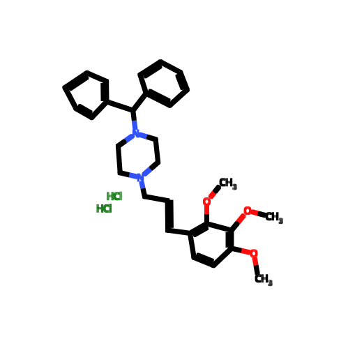 COc1ccc(C=CCN2CCN(C(c3ccccc3)c3ccccc3)CC2)c(OC)c1OC.Cl.Cl